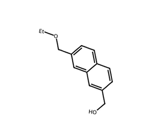 CCOCc1ccc2ccc(CO)cc2c1